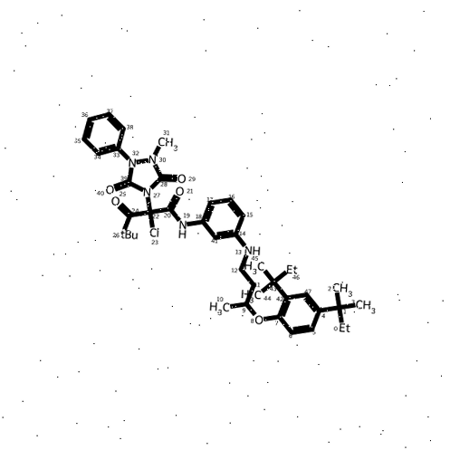 CCC(C)(C)c1ccc(OC(C)CCNc2cccc(NC(=O)C(Cl)(C(=O)C(C)(C)C)n3c(=O)n(C)n(-c4ccccc4)c3=O)c2)c(C(C)(C)CC)c1